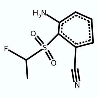 CC(F)S(=O)(=O)c1c(N)cccc1C#N